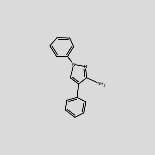 Nc1nn(-c2ccccc2)cc1-c1ccccc1